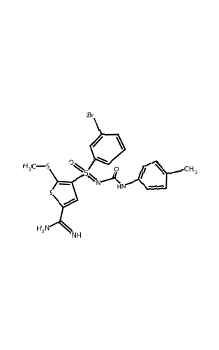 CSc1sc(C(=N)N)cc1S(=O)(=NC(=O)Nc1ccc(C)cc1)c1cccc(Br)c1